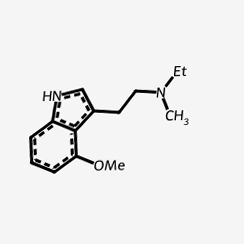 CCN(C)CCc1c[nH]c2cccc(OC)c12